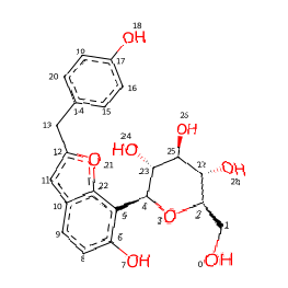 OC[C@H]1O[C@@H](c2c(O)ccc3cc(Cc4ccc(O)cc4)oc23)[C@H](O)[C@@H](O)[C@@H]1O